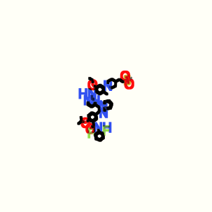 CCOc1cc(N2CCC(CCS(C)(=O)=O)CC2)c(C)cc1Nc1nccc(-c2c(-c3ccc(OC(C)C)c(C(=O)Nc4c(F)cccc4F)c3)nc3ccccn23)n1